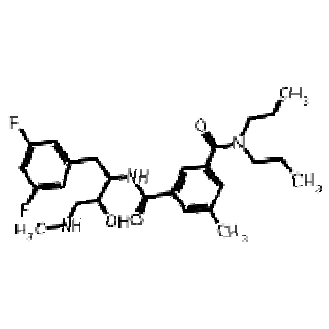 CCCN(CCC)C(=O)c1cc(C)cc(C(=O)NC(Cc2cc(F)cc(F)c2)C(O)CNC)c1